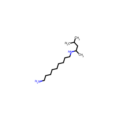 CC(C)CC(C)NCCCCCCCCCN